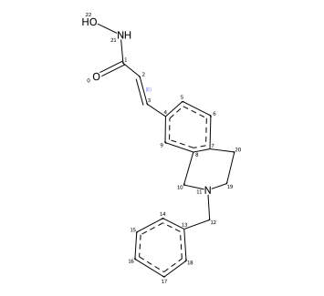 O=C(/C=C/c1ccc2c(c1)CN(Cc1ccccc1)CC2)NO